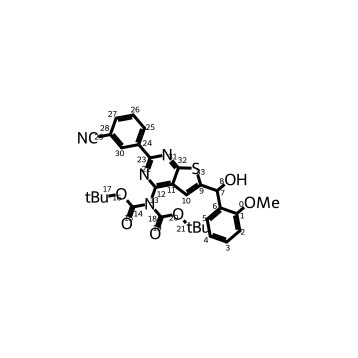 COc1ccccc1C(O)c1cc2c(N(C(=O)OC(C)(C)C)C(=O)OC(C)(C)C)nc(-c3cccc(C#N)c3)nc2s1